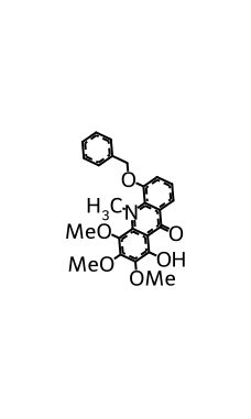 COc1c(OC)c(OC)c2c(c1O)c(=O)c1cccc(OCc3ccccc3)c1n2C